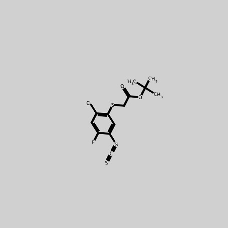 CC(C)(C)OC(=O)CSc1cc(N=C=S)c(F)cc1Cl